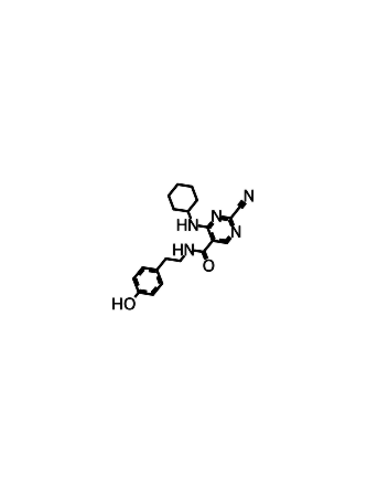 N#Cc1ncc(C(=O)NCCc2ccc(O)cc2)c(NC2CCCCC2)n1